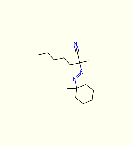 CCCCCC(C)(C#N)N=NC1(C)CCCCC1